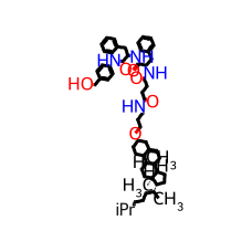 CC(C)CCCC(C)[C@H]1CC[C@H]2[C@@H]3CC=C4C[C@@H](OCCCNC(=O)CCC(=O)NC(Cc5ccccc5)C(=O)NC(Cc5ccccc5)C(=O)Nc5ccc(CO)cc5)CC[C@]4(C)[C@H]3CC[C@]12C